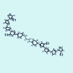 CCc1ccsc1-c1ccc(-c2ccc(-c3sc(-c4ccc(CCCCc5ccc(-c6cc(CC)c(-c7ccc(-c8ccc(-c9sccc9CC)s8)s7)s6)cc5)cc4)cc3CC)s2)s1